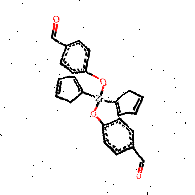 O=Cc1ccc([O][Zr]([O]c2ccc(C=O)cc2)([C]2=CC=CC2)[C]2=CC=CC2)cc1